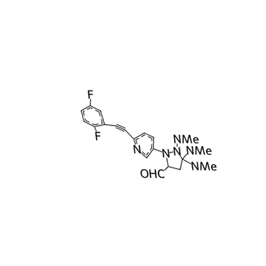 CNN1N(c2ccc(C#Cc3cc(F)ccc3F)nc2)C(C=O)CC1(NC)NC